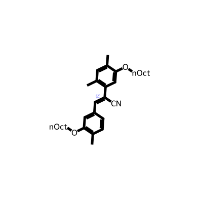 CCCCCCCCOc1cc(/C=C(\C#N)c2cc(OCCCCCCCC)c(C)cc2C)ccc1C